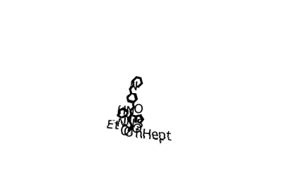 CCCCCCCOC(=O)[N+]1(C(=O)N(CC)c2ccccc2)N=C(NC(=O)c2ccc(CN3CCCCC3)cc2)c2ccsc21